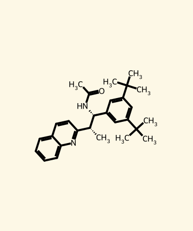 CC(=O)N[C@H](c1cc(C(C)(C)C)cc(C(C)(C)C)c1)[C@H](C)c1ccc2ccccc2n1